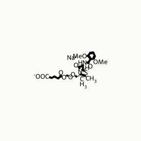 COc1cccc(OC)c1C(=O)N[C@@H]1C(=O)N2[C@@H]1SC(C)(C)[C@@H]2COOCOC(=O)CCCC(=O)[O-].[Na+]